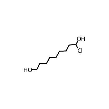 OCCCCCCCCC(O)Cl